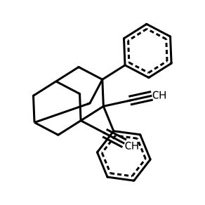 C#CC12CC3CC(C1)CC(c1ccccc1)(C3)C2(C#C)c1ccccc1